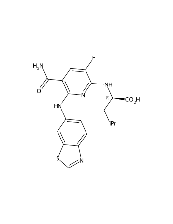 CC(C)C[C@@H](Nc1nc(Nc2ccc3ncsc3c2)c(C(N)=O)cc1F)C(=O)O